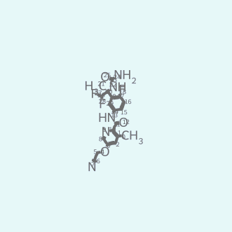 Cc1cc(OCC#N)cnc1C(=O)Nc1ccc(F)c(C(C)(NC(N)=O)C(F)F)c1